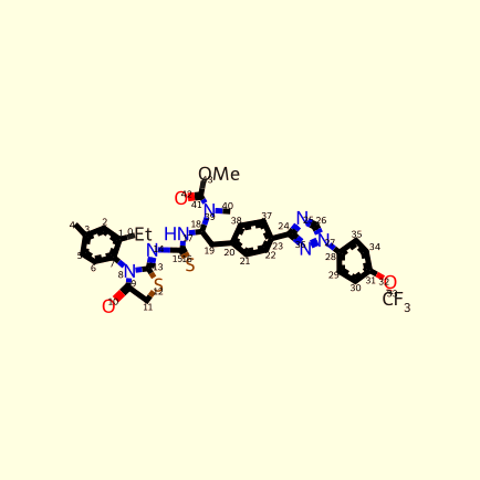 CCc1cc(C)ccc1N1C(=O)CS/C1=N\C(=S)NC(Cc1ccc(-c2ncn(-c3ccc(OC(F)(F)F)cc3)n2)cc1)N(C)C(=O)OC